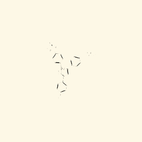 COc1ccc(-c2cc(-c3ccc(Cl)cc3)nn2-c2ccc(S(N)(=O)=O)cc2)cc1